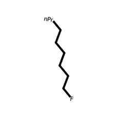 CCCCCCCCCF